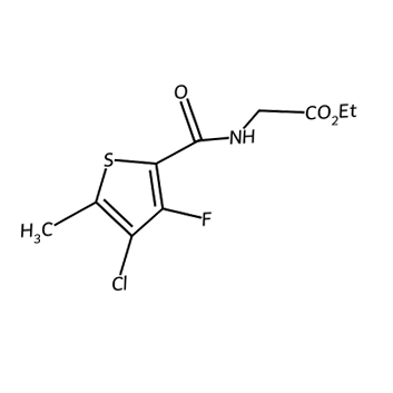 CCOC(=O)CNC(=O)c1sc(C)c(Cl)c1F